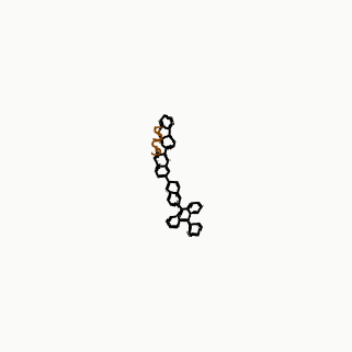 c1ccc(-c2c3ccccc3c(-c3ccc4cc(-c5ccc6cc7sc8c(ccc9c%10ccccc%10sc98)c7cc6c5)ccc4c3)c3ccccc23)cc1